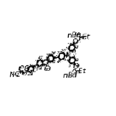 CCCCC(CC)COc1ccc(N(c2ccc(OCC(CC)CCCC)cc2)c2ccc(-c3ccc4c(c3)C(=O)c3cc(-c5ccc(C=C(C#N)C(=O)O)cc5)ccc3-4)cc2)cc1